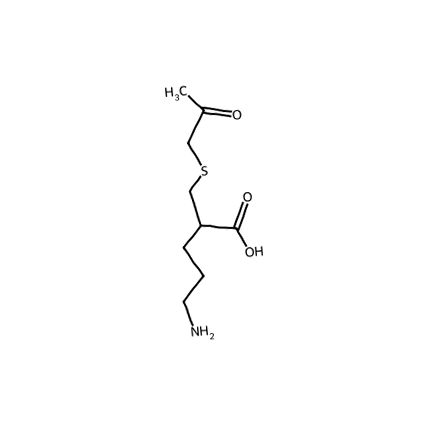 CC(=O)CSCC(CCCN)C(=O)O